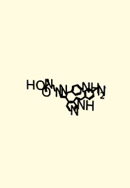 CN(C)Cc1ccc(-c2cc3c(-c4cn(CCN(C)C(=O)O)nc4-c4ccc(N)cc4)ccnc3[nH]2)cc1